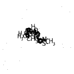 Cc1nc2cc(Oc3cccc(S(=O)(=O)NC(=O)c4cccnc4N4CC(C)CC4(C)C)n3)ccc2s1